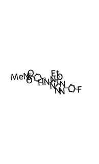 CCOc1nc(NCc2ccc(S(=O)(=O)NC)cc2)nc2nnc(-c3ccc(F)cc3)nc12